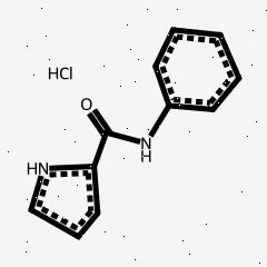 Cl.O=C(Nc1ccccc1)c1ccc[nH]1